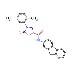 Cc1ccc(C)c(N2CC(C(=O)Nc3ccc4c(c3)Cc3ccccc3-4)CC2=O)c1